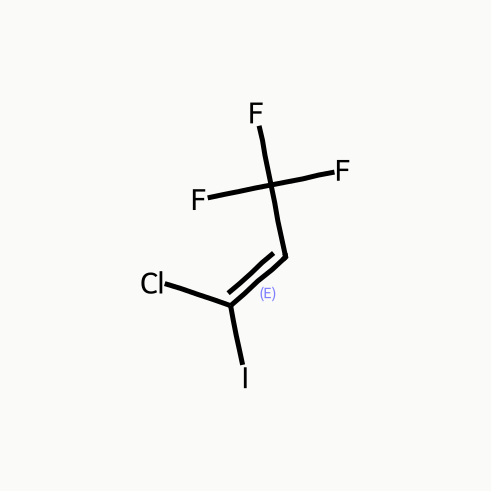 FC(F)(F)/C=C(\Cl)I